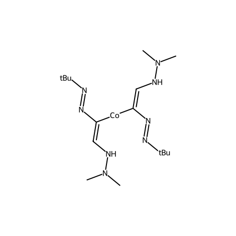 CN(C)NC=[C](N=NC(C)(C)C)[Co][C](=CNN(C)C)N=NC(C)(C)C